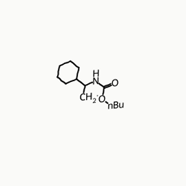 [CH2]C(NC(=O)OCCCC)C1CCCCC1